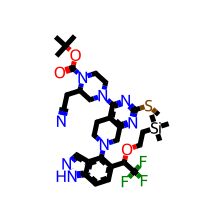 CSc1nc2c(c(N3CCN(C(=O)OC(C)(C)C)C(CC#N)C3)n1)CCN(c1c(C(OCC[Si](C)(C)C)C(F)(F)F)ccc3[nH]ncc13)C2